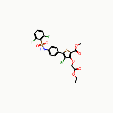 CCOC(=O)COc1c(C(=O)OC)sc(-c2ccc(NS(=O)(=O)c3c(F)cccc3F)cc2)c1Br